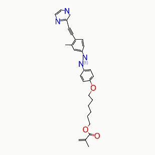 C=C(C)C(=O)OCCCCCCOc1ccc(/N=N/c2ccc(C#Cc3cnccn3)c(C)c2)cc1